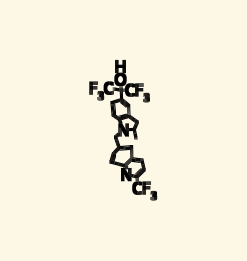 CC1Cc2cc(C(O)(C(F)(F)F)C(F)(F)F)ccc2N1Cc1ccc2nc(C(F)(F)F)ccc2c1